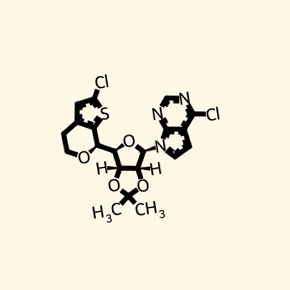 CC1(C)O[C@H]2[C@@H](O1)[C@H](n1ccc3c(Cl)ncnc31)O[C@@H]2[C@H]1OCCc2cc(Cl)sc21